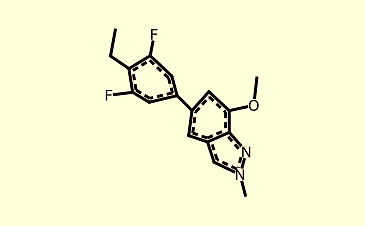 CCc1c(F)cc(-c2cc(OC)c3nn(C)cc3c2)cc1F